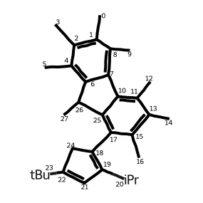 Cc1c(C)c(C)c2c(c1C)-c1c(C)c(C)c(C)c(C3=C(C(C)C)C=C(C(C)(C)C)C3)c1C2C